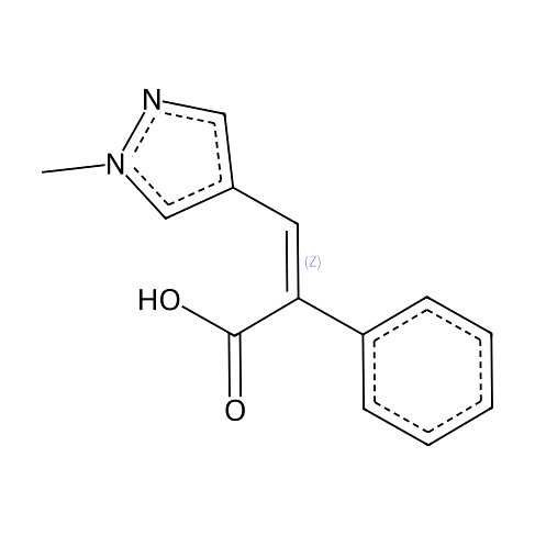 Cn1cc(/C=C(\C(=O)O)c2ccccc2)cn1